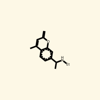 C=C1C=C(C)c2ccc(C(C)NCC)cc2O1